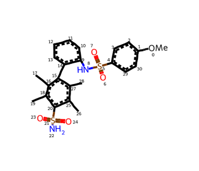 COc1ccc(S(=O)(=O)Nc2ccccc2-c2c(C)c(C)c(S(N)(=O)=O)c(C)c2C)cc1